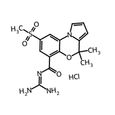 CC1(C)Oc2c(C(=O)N=C(N)N)cc(S(C)(=O)=O)cc2-n2cccc21.Cl